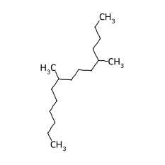 CCCCCCC(C)CCCC(C)CCCC